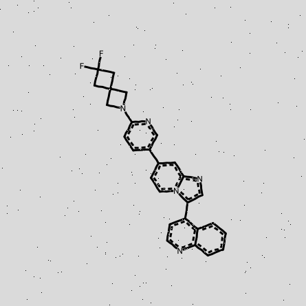 FC1(F)CC2(CN(c3ccc(-c4ccn5c(-c6ccnc7ccccc67)cnc5c4)cn3)C2)C1